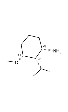 CO[C@@H]1CCC[C@H](N)[C@@H]1C(C)C